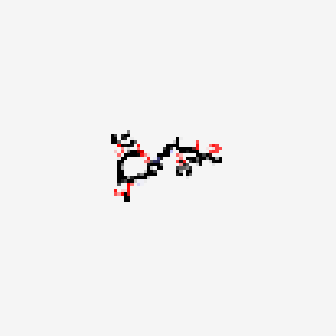 C=C1CCC(O[Si](CC)(CC)CC)CC(=O)OC(/C(C)=C/C=C/C(C)C(O[Si](CC)(CC)CC)C2OC2C(C)C(O)CC)C(C)/C=C/C1OC(C)=O